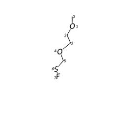 COCCOCSF